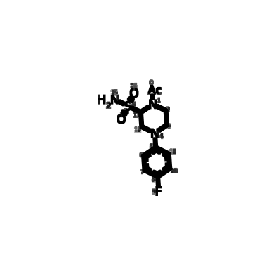 CC(=O)N1CCN(c2ccc(F)cc2)CC1S(N)(=O)=O